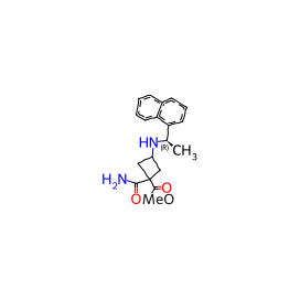 COC(=O)C1(C(N)=O)CC(N[C@H](C)c2cccc3ccccc23)C1